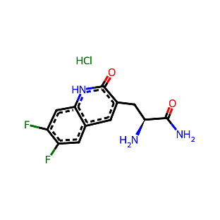 Cl.NC(=O)[C@@H](N)Cc1cc2cc(F)c(F)cc2[nH]c1=O